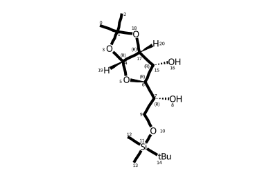 CC1(C)O[C@H]2O[C@H]([C@H](O)CO[Si](C)(C)C(C)(C)C)[C@@H](O)[C@H]2O1